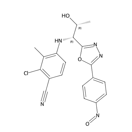 Cc1c(N[C@@H](c2nnc(-c3ccc(N=O)cc3)o2)[C@@H](C)O)ccc(C#N)c1Cl